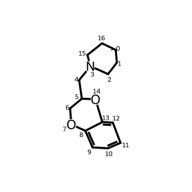 [CH]1CCN(CC2COc3ccccc3O2)CC1